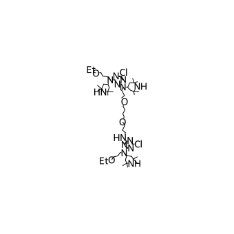 CCOCCCN(c1nc(Cl)nc(NCCCOCCCCOCCCN(c2nc(Cl)nc(N(CCCOCC)C3CC(C)(C)NC(C)(C)C3)n2)C2CC(C)(C)NC(C)(C)C2)n1)C1CC(C)(C)NC(C)(C)C1